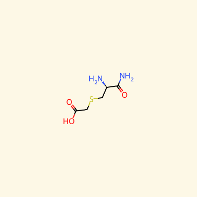 NC(=O)[C@H](N)CSCC(=O)O